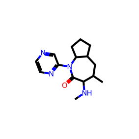 CNC1C(=O)N(c2cnccn2)C2CCCC2CC1C